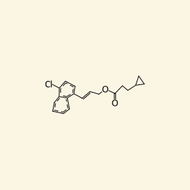 O=C(CCC1CC1)OC/C=C/c1ccc(Cl)c2ccccc12